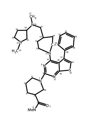 CNC(=O)C1CCCN(c2nc(N3CCC(CN(C)C4CCN(C)C4)CC3)c3c(-c4ccccc4)csc3n2)C1